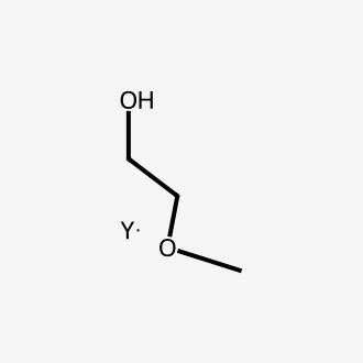 COCCO.[Y]